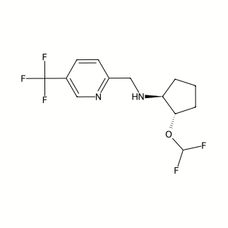 FC(F)O[C@H]1CCC[C@@H]1NCc1ccc(C(F)(F)F)cn1